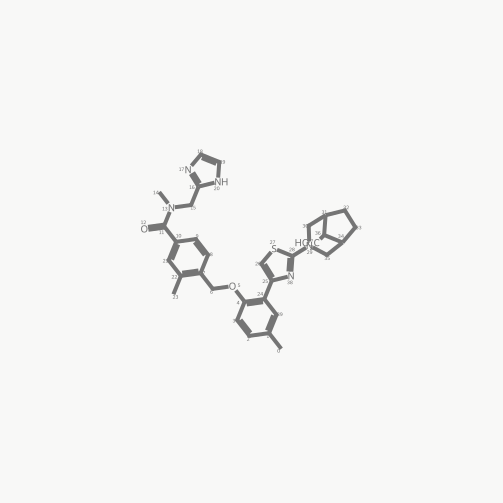 Cc1ccc(OCc2ccc(C(=O)N(C)Cc3ncc[nH]3)cc2C)c(-c2csc(N3CC4CCC(C3)C4C(=O)O)n2)c1